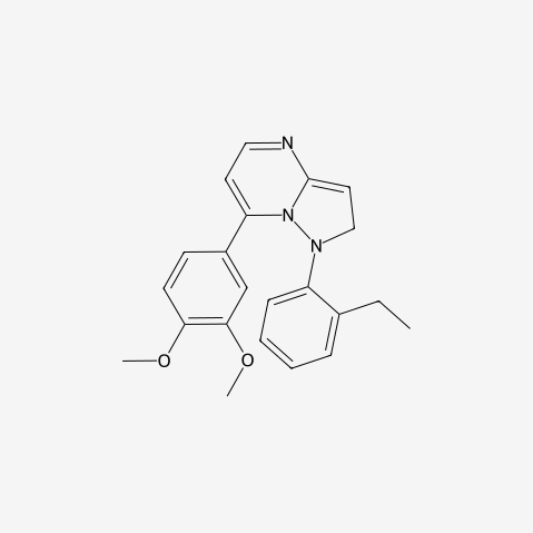 CCc1ccccc1N1CC=C2N=CC=C(c3ccc(OC)c(OC)c3)N21